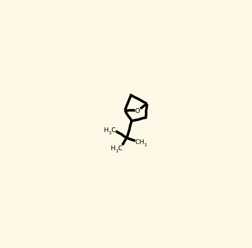 CC(C)(C)C1CC2CC1O2